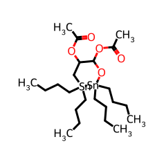 CCC[CH2][Sn]1([CH2]CCC)[CH2]C(OC(C)=O)C(OC(C)=O)[O][Sn]1([CH2]CCC)[CH2]CCC